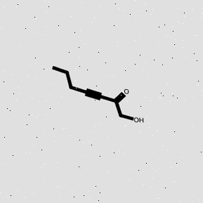 CCCC#CC(=O)CO